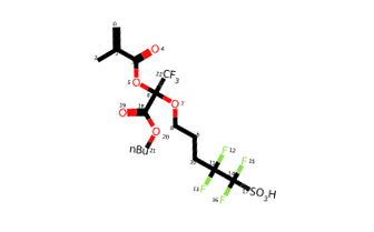 C=C(C)C(=O)OC(OCCCC(F)(F)C(F)(F)S(=O)(=O)O)(C(=O)OCCCC)C(F)(F)F